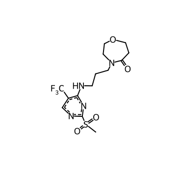 CS(=O)(=O)c1ncc(C(F)(F)F)c(NCCCN2CCOCCC2=O)n1